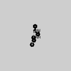 Cc1ccc(Nc2nccc3cc(N4CCCCC4)ccc23)cc1-c1ncc(-c2ccccc2)[nH]1